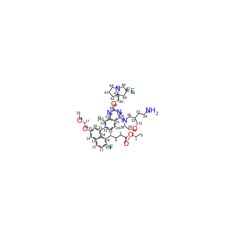 CCOC(=O)CCCc1c(F)ccc2cc(OCOC)cc(-c3ccc4c(N5CCOCC(CCN)C5)nc(OC[C@@]56CCCN5C[C@H](F)C6)nc4c3F)c12